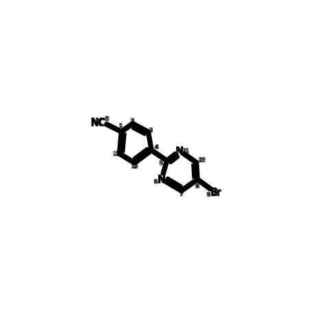 N#Cc1ccc(-c2ncc(Br)cn2)cc1